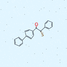 O=C(C(=S)c1ccccc1)c1ccc(-c2ccccc2)cc1